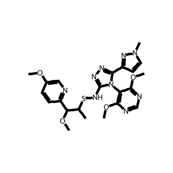 COc1ccc(C(OC)C(C)SNc2nnc(-c3ccn(C)n3)n2-c2c(OC)ncnc2OC)nc1